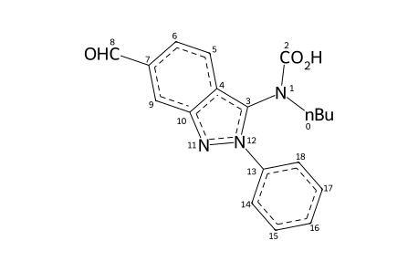 CCCCN(C(=O)O)c1c2ccc(C=O)cc2nn1-c1ccccc1